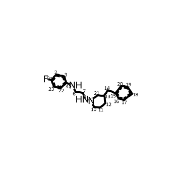 Fc1ccc(NCCNN2CCCC(Cc3ccccc3)C2)cc1